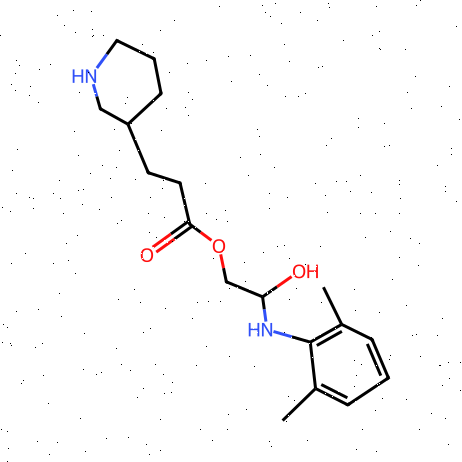 Cc1cccc(C)c1NC(O)COC(=O)CCC1CCCNC1